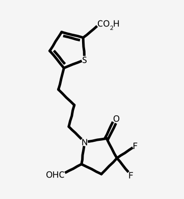 O=CC1CC(F)(F)C(=O)N1CCCc1ccc(C(=O)O)s1